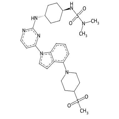 CN(C)S(=O)(=O)N[C@H]1CC[C@H](Nc2nccc(-n3ccc4c(N5CCC(S(C)(=O)=O)CC5)cccc43)n2)CC1